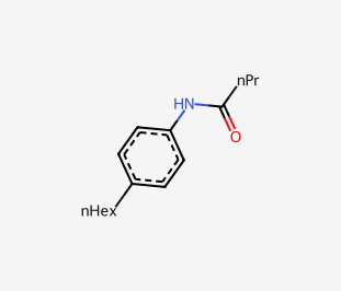 [CH2]CCCCCc1ccc(NC(=O)CCC)cc1